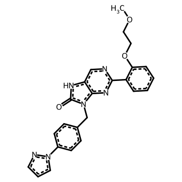 COCCOc1ccccc1-c1ncc2[nH]c(=O)n(Cc3ccc(-n4cccn4)cc3)c2n1